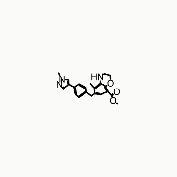 COC(=O)c1cc(Cc2ccc(-c3cnn(C)c3)cc2)c(C)c2c1OCCN2